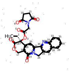 CC[C@@]1(OC(=O)CN2C(=O)CCC2=O)C(=O)OCc2c1cc1n(c2=O)Cc2cc3ccccc3nc2-1